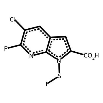 O=C(O)c1cc2cc(Cl)c(F)nc2n1SI